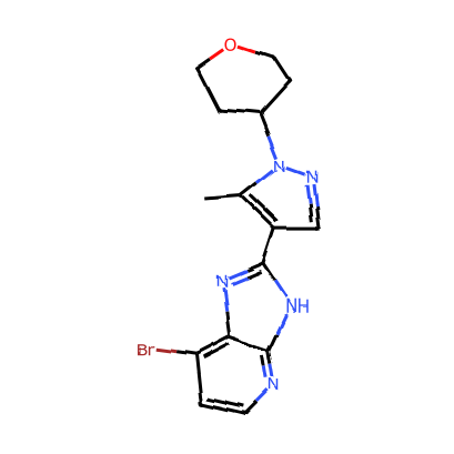 Cc1c(-c2nc3c(Br)ccnc3[nH]2)cnn1C1CCOCC1